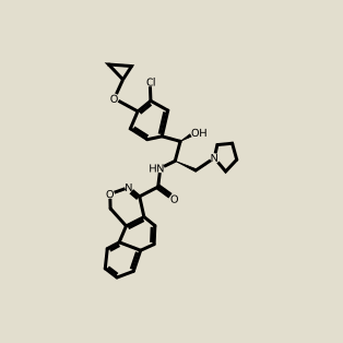 O=C(N[C@H](CN1CCCC1)[C@H](O)c1ccc(OC2CC2)c(Cl)c1)C1=NOCc2c1ccc1ccccc21